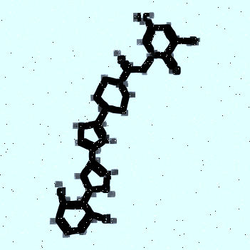 Cc1cc(Br)c(=O)n(CC(=O)N2CCC(c3nc(C4=NOC(c5c(Cl)cccc5Cl)C4)cs3)CC2)c1